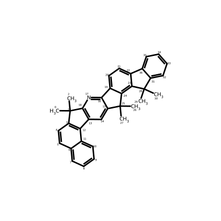 CC1(C)c2ccc3ccccc3c2-c2cc3c(nc21)-c1ccc2c(c1C3(C)C)C(C)(C)c1ccccc1-2